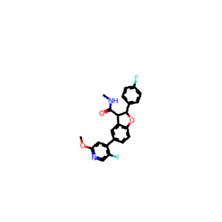 CNC(=O)C1c2cc(-c3cc(OC)ncc3F)ccc2OC1c1ccc(F)cc1